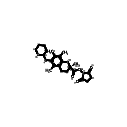 Cc1c(C)c2c(c(C)c1OC1CCCCO1)CC[C@](C)(C(=O)ON1C(=O)CCC1=O)O2